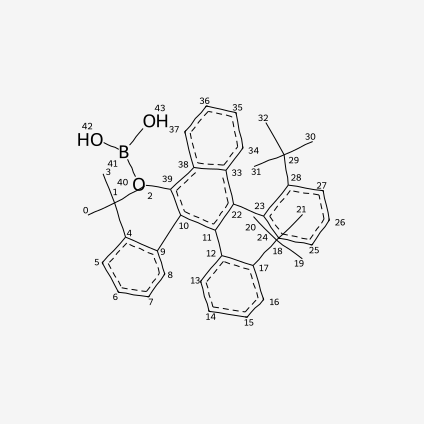 CC(C)(C)c1ccccc1-c1c(-c2ccccc2C(C)(C)C)c(-c2ccccc2C(C)(C)C)c2ccccc2c1OB(O)O